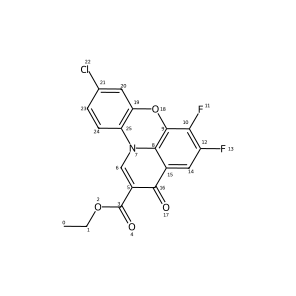 CCOC(=O)c1cn2c3c(c(F)c(F)cc3c1=O)Oc1cc(Cl)ccc1-2